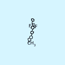 CC1CCC2CC(c3ccc(-c4cc(F)c(OCc5ccccc5)c(F)c4)cc3)CCC2C1